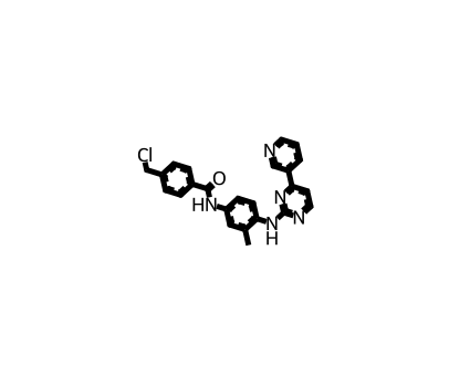 Cc1cc(NC(=O)c2ccc(CCl)cc2)ccc1Nc1nccc(-c2cccnc2)n1